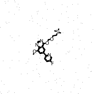 COc1cc(-c2ccc(F)cn2)cc2c(OCOCC[Si](C)(C)C)ncnc12